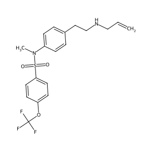 C=CCNCCc1ccc(N(C)S(=O)(=O)c2ccc(OC(F)(F)F)cc2)cc1